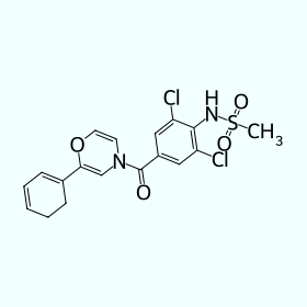 CS(=O)(=O)Nc1c(Cl)cc(C(=O)N2C=COC(C3=CC=CCC3)=C2)cc1Cl